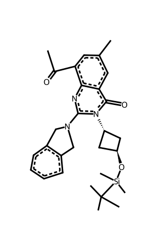 CC(=O)c1cc(C)cc2c(=O)n([C@H]3C[C@H](O[Si](C)(C)C(C)(C)C)C3)c(N3Cc4ccccc4C3)nc12